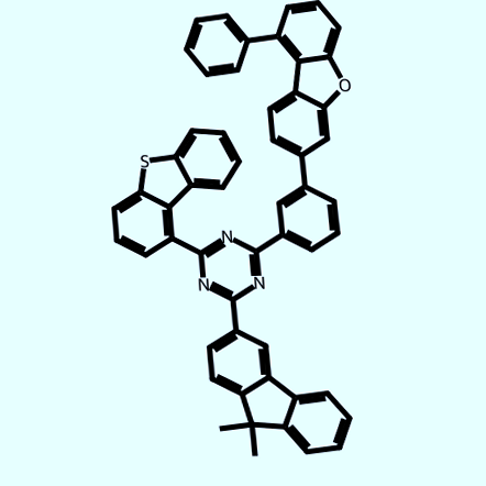 CC1(C)c2ccccc2-c2cc(-c3nc(-c4cccc(-c5ccc6c(c5)oc5cccc(-c7ccccc7)c56)c4)nc(-c4cccc5sc6ccccc6c45)n3)ccc21